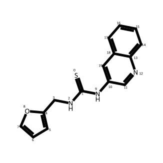 S=C(NCc1ccco1)Nc1cnc2ccccc2c1